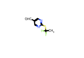 CC(F)(F)Sc1ncc(C=O)cn1